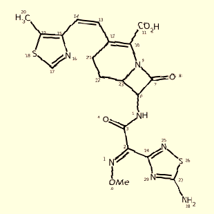 CO/N=C(/C(=O)NC1C(=O)N2C(C(=O)O)=C(/C=C\c3ncsc3C)CCC12)c1nsc(N)n1